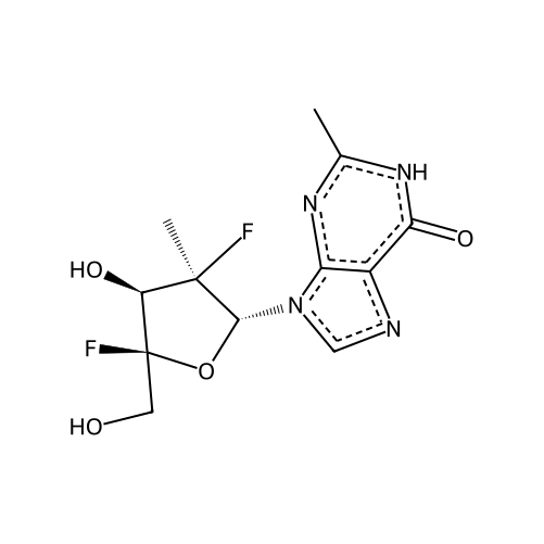 Cc1nc2c(ncn2[C@@H]2O[C@](F)(CO)[C@@H](O)[C@@]2(C)F)c(=O)[nH]1